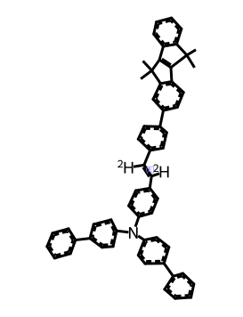 [2H]/C(=C(/[2H])c1ccc(N(c2ccc(-c3ccccc3)cc2)c2ccc(-c3ccccc3)cc2)cc1)c1ccc(-c2ccc3c(c2)C(C)(C)C2=C3C(C)(C)c3ccccc32)cc1